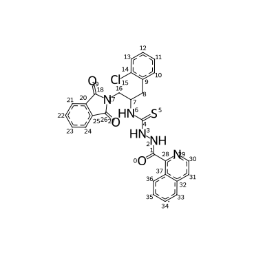 O=C(NNC(=S)NC(Cc1ccccc1Cl)CN1C(=O)c2ccccc2C1=O)c1nccc2c[c]ccc12